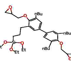 CCCCc1cc(-c2cc(CCCC)c(OCC3CO3)c(CCC[Si](OCC)(OCC)OCC)c2)cc(CCCC)c1OCC1CO1